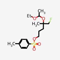 CCOC(C)OC(C)(CF)CCCOS(=O)(=O)c1ccc(C)cc1